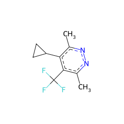 Cc1nnc(C)c(C(F)(F)F)c1C1CC1